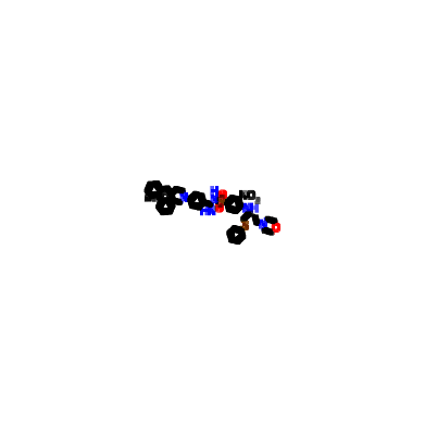 COC1(Cc2ccccc2-c2ccccc2)CCN(c2ccc(C(=N)NS(=O)(=O)c3ccc(N[C@H](CCN4CCOCC4)CSc4ccccc4)c([N+](=O)[O-])c3)cc2)CC1